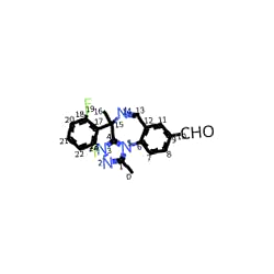 Cc1nnc2n1-c1ccc(C=O)cc1C=NC2(C)c1c(F)cccc1F